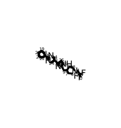 FC(F)(F)CN1CCC(Cc2nc(-c3cnc(-c4ccccc4)nc3)c[nH]2)CC1